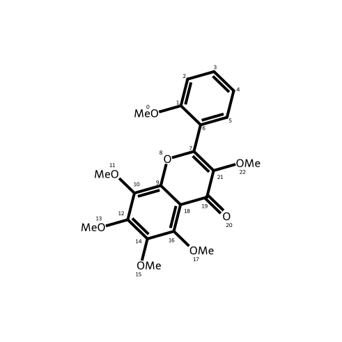 COc1ccccc1-c1oc2c(OC)c(OC)c(OC)c(OC)c2c(=O)c1OC